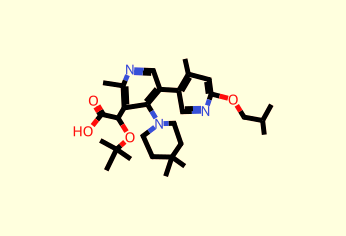 Cc1cc(OCC(C)C)ncc1-c1cnc(C)c(C(OC(C)(C)C)C(=O)O)c1N1CCC(C)(C)CC1